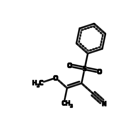 COC(C)=C(C#N)S(=O)(=O)c1ccccc1